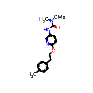 CON(C)C(=O)Nc1ccc(OCCc2ccc(C)cc2)nc1